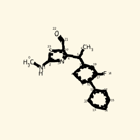 CNc1nc(C(C)c2ccc(-c3ccccc3)c(F)c2)c(C=O)s1